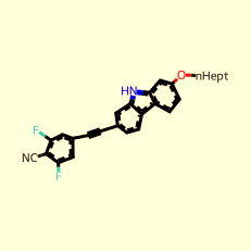 CCCCCCCOc1ccc2c(c1)[nH]c1cc(C#Cc3cc(F)c(C#N)c(F)c3)ccc12